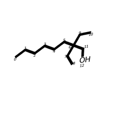 CCCCCCC(CC)(CC)CO